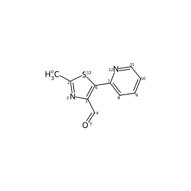 Cc1nc(C=O)c(-c2ccccn2)s1